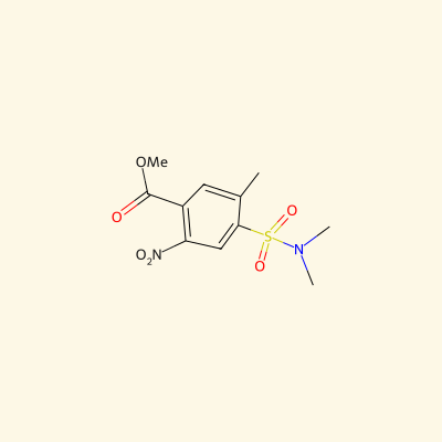 COC(=O)c1cc(C)c(S(=O)(=O)N(C)C)cc1[N+](=O)[O-]